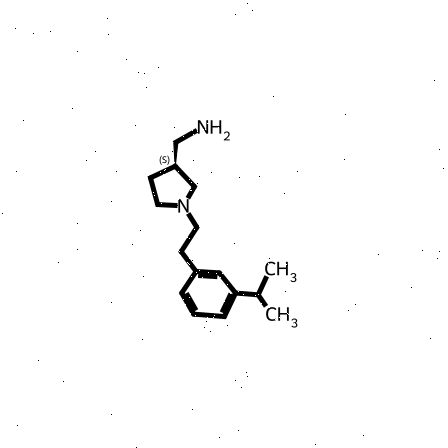 CC(C)c1cccc(CCN2CC[C@@H](CN)C2)c1